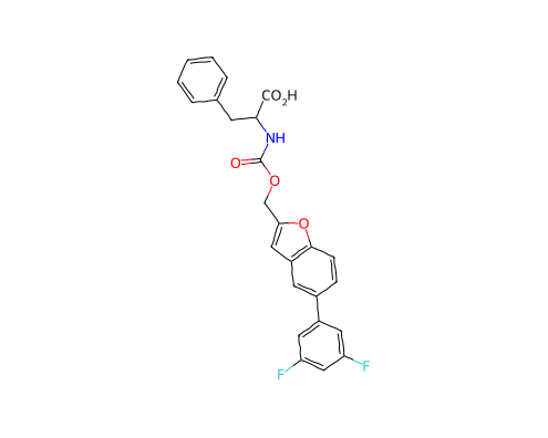 O=C(NC(Cc1ccccc1)C(=O)O)OCc1cc2cc(-c3cc(F)cc(F)c3)ccc2o1